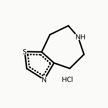 Cl.c1nc2c(s1)CCNCC2